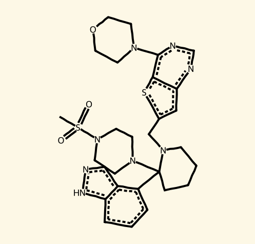 CS(=O)(=O)N1CCN(C2(c3cccc4[nH]ncc34)CCCCN2Cc2cc3ncnc(N4CCOCC4)c3s2)CC1